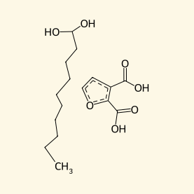 CCCCCCCCCC(O)O.O=C(O)c1ccoc1C(=O)O